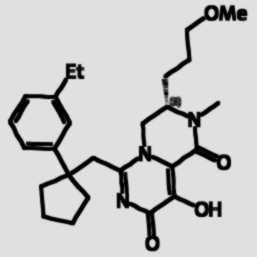 CCc1cccc(C2(Cc3nc(=O)c(O)c4n3C[C@H](CCCOC)N(C)C4=O)CCCC2)c1